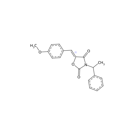 COc1ccc(/C=C2\OC(=O)N(C(C)c3ccccc3)C2=O)cc1